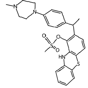 CC(c1ccc(N2CCN(C)CC2)cc1)c1ccc2c(c1OS(C)(=O)=O)Nc1ccccc1S2